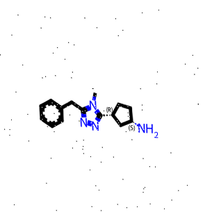 Cn1c(Cc2ccccc2)nnc1[C@@H]1CC[C@H](N)C1